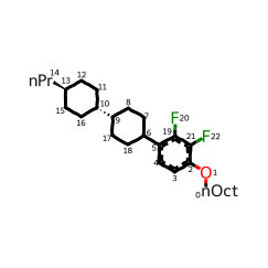 CCCCCCCCOc1ccc(C2CCC([C@H]3CC[C@H](CCC)CC3)CC2)c(F)c1F